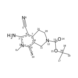 Cn1c(N)c(C#N)c2c(c1=S)CN(C(=O)OC(C)(C)C)CC2